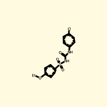 CCOc1ccc(S(=O)(=O)NC(=O)Nc2ccc(Cl)cc2)cc1